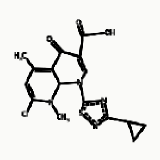 CC1=C2C(=O)C(C(=O)O)=CN(c3nc(C4CC4)ns3)C2N(C)C(Cl)=C1